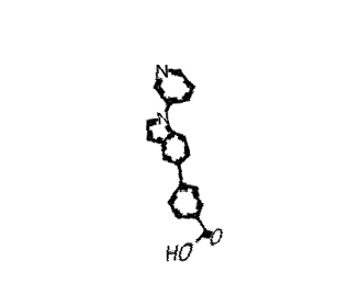 O=C(O)c1ccc(-c2ccc3c(ccn3-c3cccnc3)c2)cc1